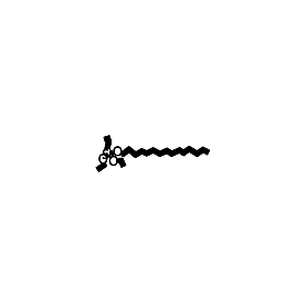 C=CC[Si](OCC)(OCC)OCCCCCCCCCCCCCCC